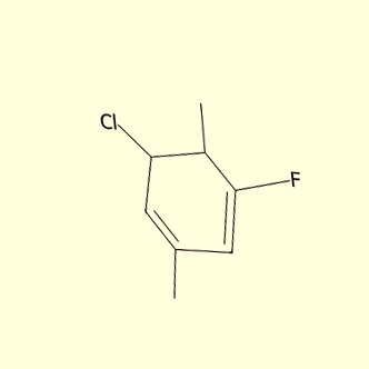 CC1=CC(Cl)C(C)C(F)=C1